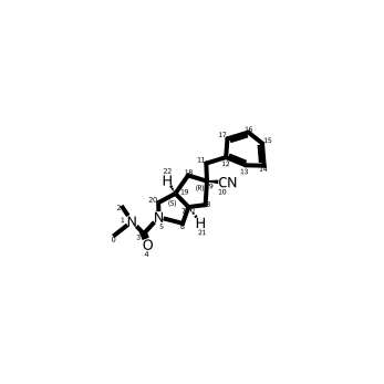 CN(C)C(=O)N1C[C@@H]2C[C@@](C#N)(Cc3ccccc3)C[C@@H]2C1